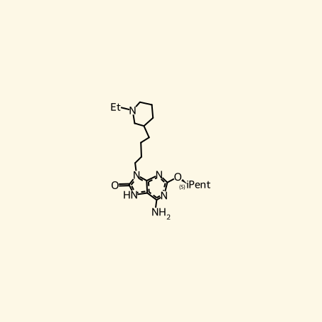 CCC[C@H](C)Oc1nc(N)c2[nH]c(=O)n(CCCCC3CCCN(CC)C3)c2n1